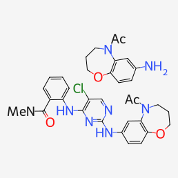 CC(=O)N1CCCOc2ccc(N)cc21.CNC(=O)c1ccccc1Nc1nc(Nc2ccc3c(c2)N(C(C)=O)CCCO3)ncc1Cl